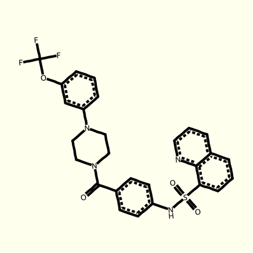 O=C(c1ccc(NS(=O)(=O)c2cccc3cccnc23)cc1)N1CCN(c2cccc(OC(F)(F)F)c2)CC1